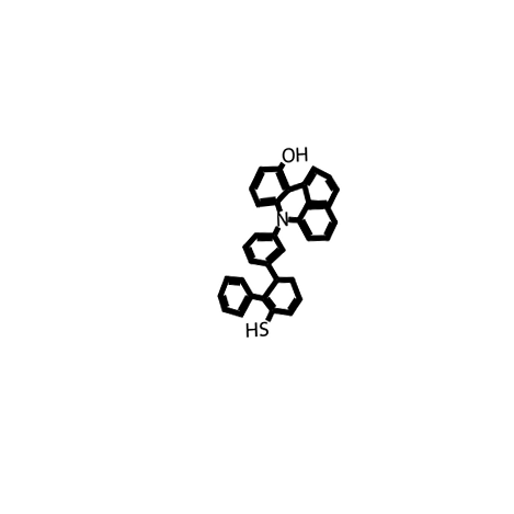 Oc1cccc(N(c2ccccc2)c2cccc(C3CC=CC(S)=C3c3ccccc3)c2)c1-c1ccccc1